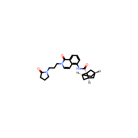 O=C1CCCN1CCCn1ccc2c(NC(=O)[C@]34C[C@@H]5C[C@H]3C[C@@H]4C5)cccc2c1=O